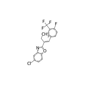 CC/C(=C\c1ccc(F)c(C(F)(F)F)c1)c1nc2cc(Cl)ccc2o1